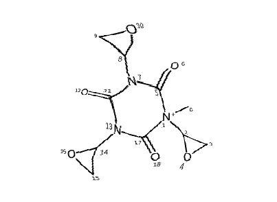 C[N+]1(C2CO2)C(=O)N(C2CO2)C(=O)N(C2CO2)C1=O